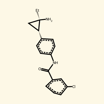 CC[C@@]1(N)C[C@H]1c1ccc(NC(=O)c2cccc(Cl)c2)cc1